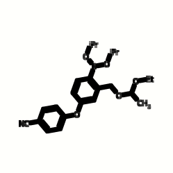 CCOC(C)OCc1cc(Oc2ccc(C#N)cc2)ccc1B(OC(C)C)OC(C)C